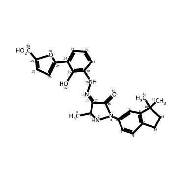 CC1NN(c2ccc3c(c2)C(C)(C)CC3)C(=O)/C1=N\Nc1cccc(-c2ccc(C(=O)O)o2)c1O